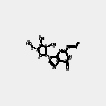 CC=Nc1nc2c(ncn2[C@@H]2O[C@H](CO)[C@@H](O)[C@H]2O)c(=O)[nH]1